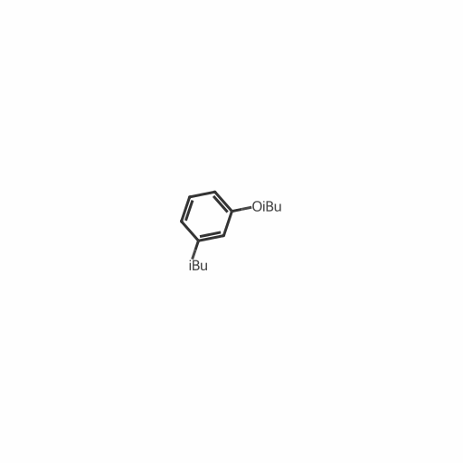 [CH2]CC(C)c1cccc(OCC(C)C)c1